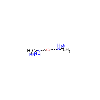 C/C(=C/NCCCCCOCCCCN/C=C(/C)N=N)N=N